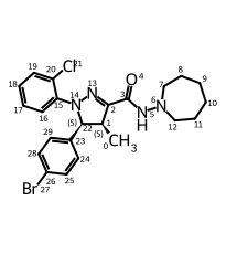 C[C@@H]1C(C(=O)NN2CCCCCC2)=NN(c2ccccc2Cl)[C@@H]1c1ccc(Br)cc1